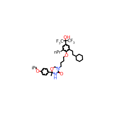 CCCc1cc(C(O)(C(F)(F)F)C(F)(F)F)cc(CCC2CCCCC2)c1OCCCCN1COC(C)(c2ccc(OC(C)C)cc2)NC1=O